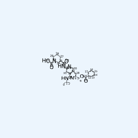 CC(C)Nc1nc([C@@H](C)OC(=O)c2ccccc2)cc2cnc(NC(=O)[C@@H]3CCCN(C(=O)O)C3)cc12